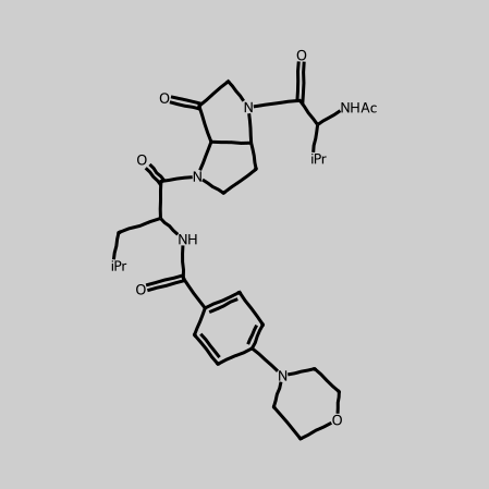 CC(=O)NC(C(=O)N1CC(=O)C2C1CCN2C(=O)C(CC(C)C)NC(=O)c1ccc(N2CCOCC2)cc1)C(C)C